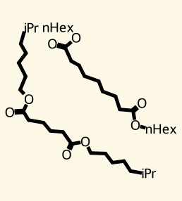 CC(C)CCCCCOC(=O)CCCCC(=O)OCCCCCC(C)C.CCCCCCOC(=O)CCCCCCCC(=O)OCCCCCC